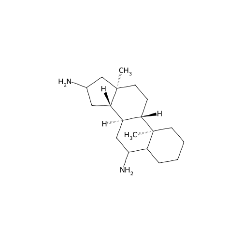 C[C@]12CC[C@H]3[C@@H](CC(N)C4CCCC[C@@]43C)[C@@H]1CC(N)C2